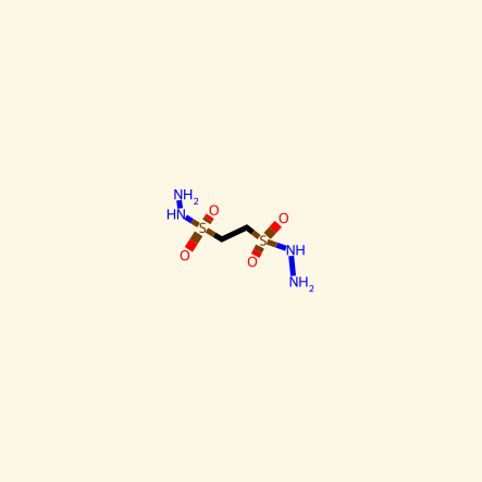 NNS(=O)(=O)CCS(=O)(=O)NN